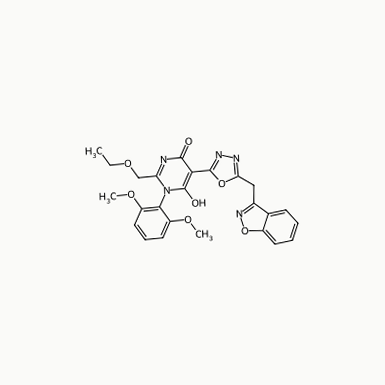 CCOCc1nc(=O)c(-c2nnc(Cc3noc4ccccc34)o2)c(O)n1-c1c(OC)cccc1OC